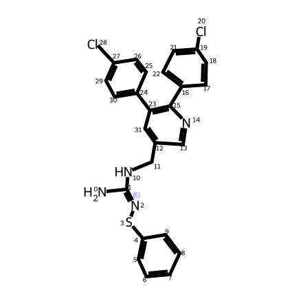 N/C(=N\Sc1ccccc1)NCc1cnc(-c2ccc(Cl)cc2)c(-c2ccc(Cl)cc2)c1